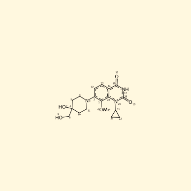 COc1c(N2CCC(O)(CO)CC2)ccc2c(=O)[nH]c(=O)n(C3CC3)c12